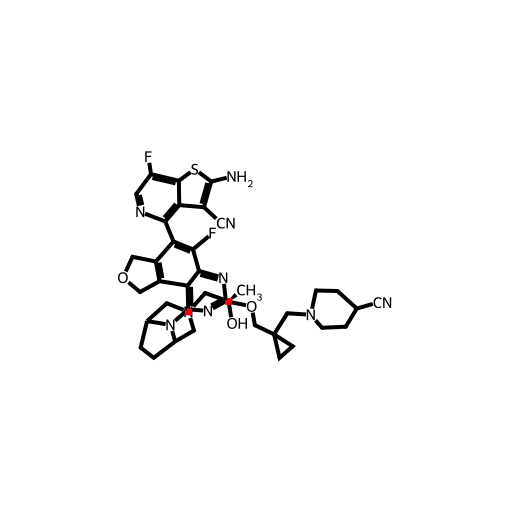 C[C@@H](O)CN1CC2CCC(C1)N2c1nc(OCC2(CN3CCC(C#N)CC3)CC2)nc2c(F)c(-c3ncc(F)c4sc(N)c(C#N)c34)c3c(c12)COC3